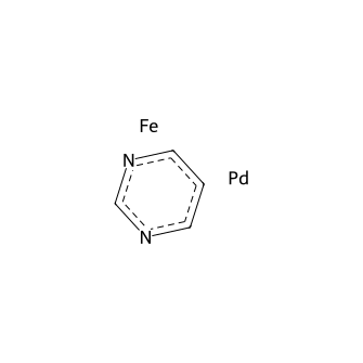 [Fe].[Pd].c1cncnc1